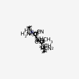 C=C1N(c2cc(C)nc(C(=O)NCc3cc(C#N)cc(/C(=C/NC4CC4)CN)c3)c2)CCC1(C#N)C1CC1